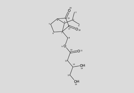 CC(C)C1C2CCC1(COC(=O)CC(O)CO)C(=O)C2=O